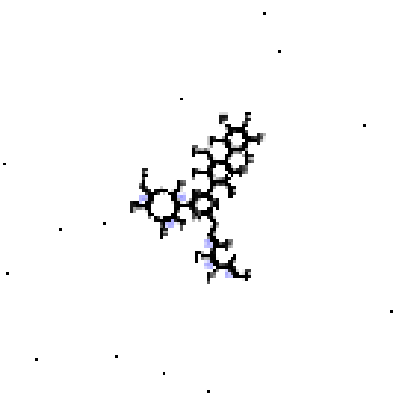 CC(=C\F)/C(F)=C(F)\C(F)=C\Cc1nc(C2=C(\F)C/C(CF)=C(/F)C/C(F)=C\2F)nc(-c2c(F)c(F)c(-c3c(F)c(F)c(F)c(F)c3F)c(CF)c2F)n1